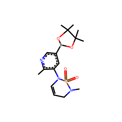 Cc1ncc(B2OC(C)(C)C(C)(C)O2)cc1N1C=CCN(C)S1(=O)=O